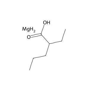 CCCC(CC)C(=O)O.[MgH2]